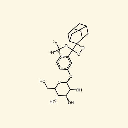 [2H]C([2H])([2H])OC1(c2cccc(O[C@@H]3OC(CO)[C@@H](O)[C@H](O)C3O)c2)OOC12C1CC3CC(C1)CC2C3